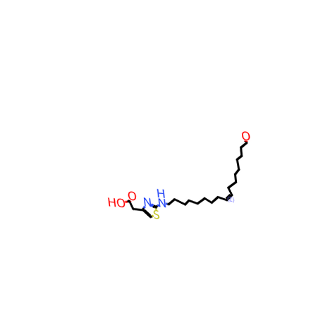 O=CCCCCCCC/C=C\CCCCCCCCNc1nc(CC(=O)O)cs1